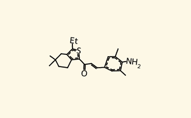 CCc1sc(C(=O)C=Cc2cc(C)c(N)c(C)c2)c2c1CC(C)(C)CC2